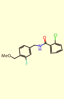 COCc1ccc(CNC(=O)c2ccccc2Cl)cc1F